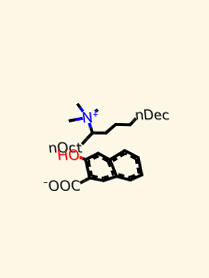 CCCCCCCCCCCCCC(CCCCCCCC)[N+](C)(C)C.O=C([O-])c1cc2ccccc2cc1O